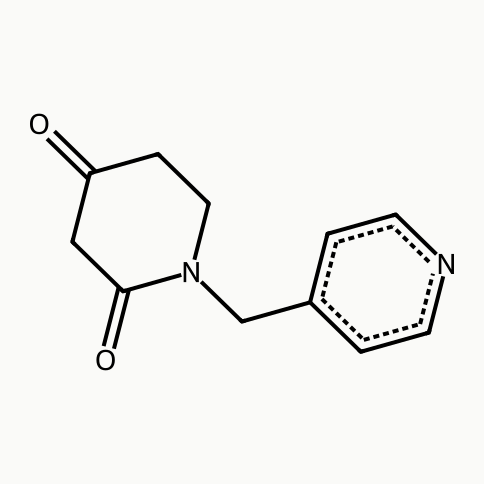 O=C1CCN(Cc2ccncc2)C(=O)C1